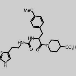 COc1ccc(CC(NC(=O)NCCc2c[nH]cn2)C(=O)N2CCC(C(=O)O)CC2)cc1